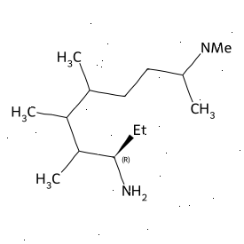 CC[C@@H](N)C(C)C(C)C(C)CCC(C)NC